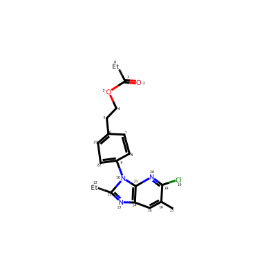 CCC(=O)OCCc1ccc(-n2c(CC)nc3cc(C)c(Cl)nc32)cc1